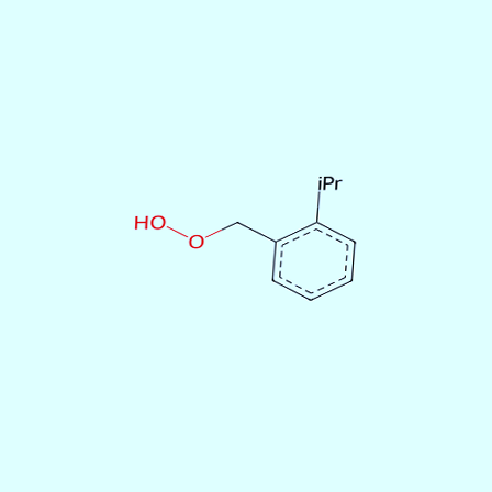 CC(C)c1ccccc1COO